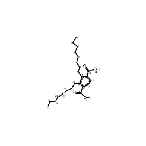 CCCCCCCCc1c(C(=O)O)ccc(C(=O)O)c1CCCCCCCC